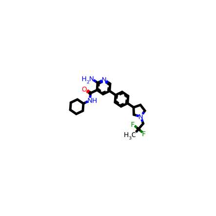 CC(F)(F)CN1CCC(c2ccc(-c3cnc(N)c(C(=O)NC4CCCCC4)c3)cc2)C1